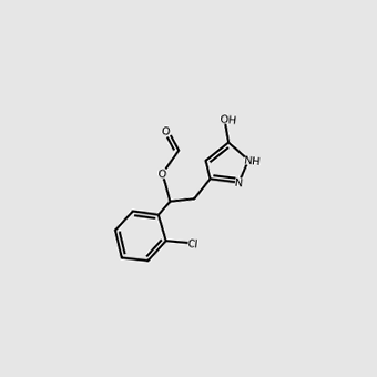 O=COC(Cc1cc(O)[nH]n1)c1ccccc1Cl